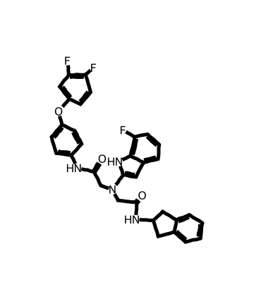 O=C(CN(CC(=O)NC1Cc2ccccc2C1)c1cc2cccc(F)c2[nH]1)Nc1ccc(Oc2ccc(F)c(F)c2)cc1